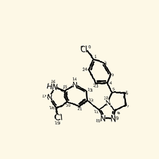 Clc1ccc(C2CCc3nnc(-c4cnc5[nH]nc(Cl)c5c4)n32)cc1